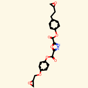 O=C(Oc1ccc(CCC2CO2)cc1)c1nnc(C(=O)Oc2ccc(OCC3CO3)cc2)o1